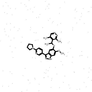 COc1cc2[nH]nc(-c3ccc(N4CCCC4)nc3)c2cc1OC(C)c1c(C)cnnc1C